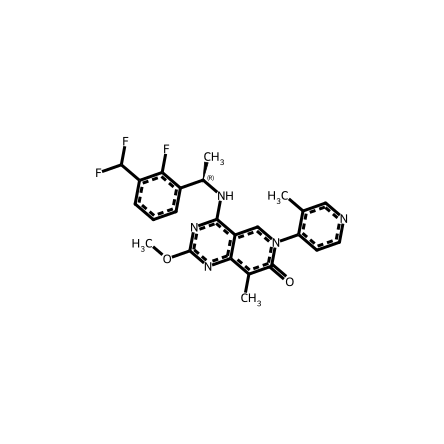 COc1nc(N[C@H](C)c2cccc(C(F)F)c2F)c2cn(-c3ccncc3C)c(=O)c(C)c2n1